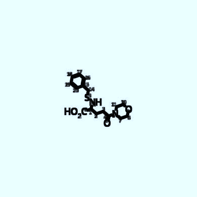 O=C(O)C(CCC(=O)N1CCOCC1)NSCc1ccccc1